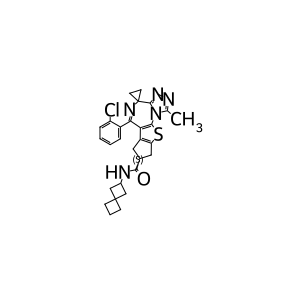 Cc1nnc2n1-c1sc3c(c1C(c1ccccc1Cl)=NC21CC1)C[C@H](C(=O)NC1CC2(CCC2)C1)C3